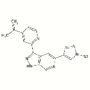 C=C(C)c1ccnc(-c2n[nH]c3cnc(-c4cnn(CC)c4)cc23)c1